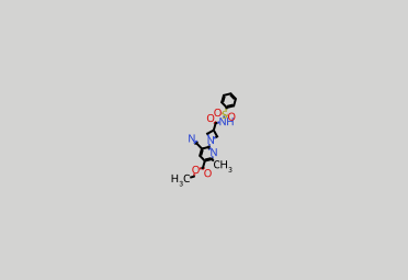 CCOC(=O)c1cc(C#N)c(N2CC(C(=O)NS(=O)(=O)c3ccccc3)C2)nc1C